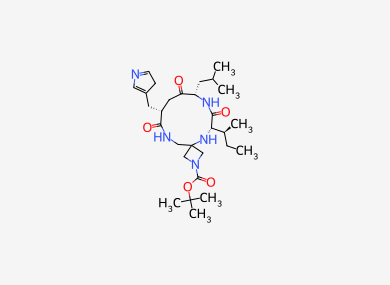 CC[C@H](C)[C@@H]1NC2(CNC(=O)[C@H](CC3=CN=CC3)CC(=O)[C@H](CC(C)C)NC1=O)CN(C(=O)OC(C)(C)C)C2